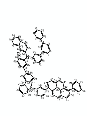 c1ccc(-c2cccc(-c3cccc(N4c5cc(-c6ccc7c(c6)c6ccccc6n7-c6cccc(-c7ccc8ccc9c(-c%10ccccc%10)ccc%10ccc7c8c%109)c6)ccc5Oc5c4ccc4ccccc54)c3)c2)cc1